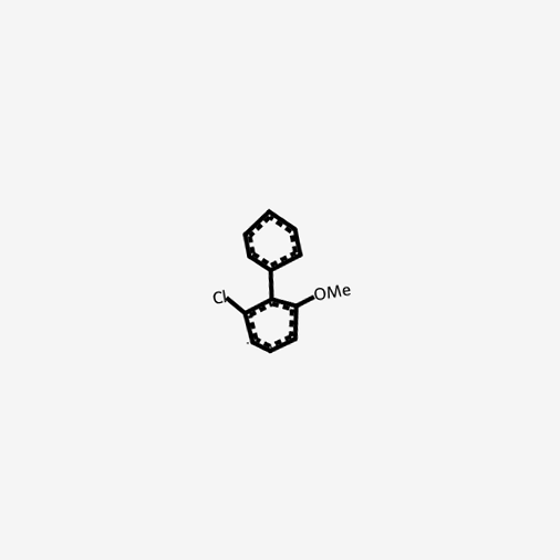 COc1cc[c]c(Cl)c1-c1ccccc1